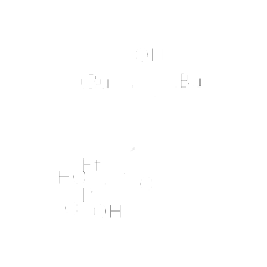 CCC(C)(C(=O)C=Cc1cc(C(C)(C)C)c(O)c(C(C)(C)C)c1)P(=O)(O)O